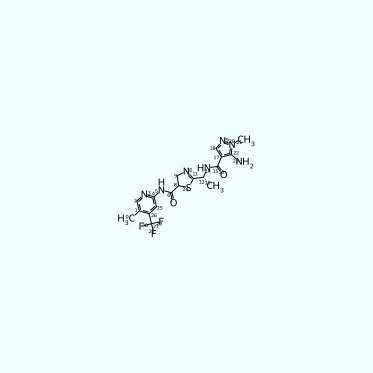 Cc1cnc(NC(=O)C2CN=C([C@@H](C)NC(=O)c3cnn(C)c3N)S2)cc1C(F)(F)F